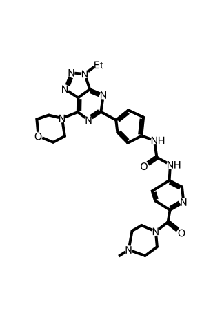 CCn1nnc2c(N3CCOCC3)nc(-c3ccc(NC(=O)Nc4ccc(C(=O)N5CCN(C)CC5)nc4)cc3)nc21